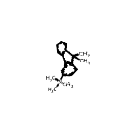 CC1(C)c2ccccc2-c2cc([Si](C)(C)C)ccc21